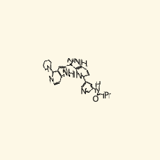 CC(C)C(=O)Nc1cncc(-c2ccc3[nH]nc(-c4cc5c(N6CCCCC6)nccc5[nH]4)c3n2)c1